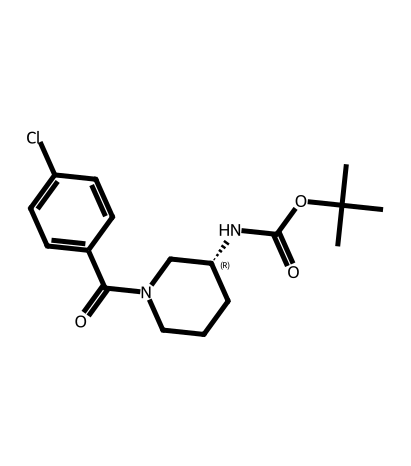 CC(C)(C)OC(=O)N[C@@H]1CCCN(C(=O)c2ccc(Cl)cc2)C1